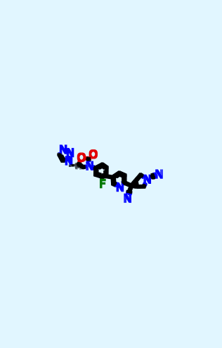 N#CN1CC2C(C1)C2(C#N)c1ccc(-c2ccc(N3C[C@H](Cn4ccnn4)OC3=O)cc2F)cn1